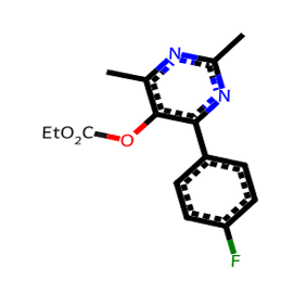 CCOC(=O)Oc1c(C)nc(C)nc1-c1ccc(F)cc1